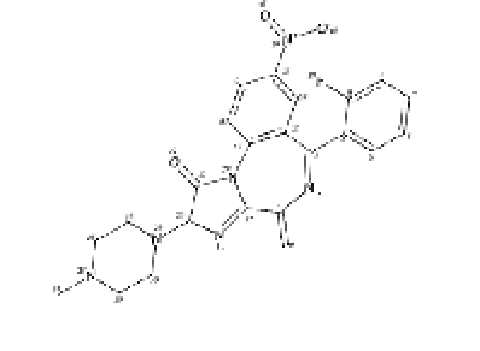 C=C1N=C(c2ccccc2F)c2cc([N+](=O)[O-])ccc2N2C(=O)C(N3CCN(C)CC3)N=C12